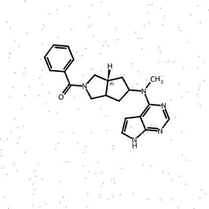 CN(c1ncnc2[nH]ccc12)C1CC2CN(C(=O)c3ccccc3)C[C@@H]2C1